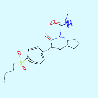 CCCCS(=O)(=O)c1ccc(C(CC2CCCC2)C(=O)NC(=O)NC)cc1